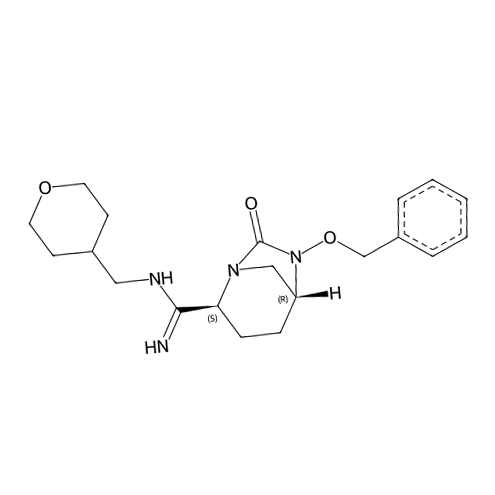 N=C(NCC1CCOCC1)[C@@H]1CC[C@@H]2CN1C(=O)N2OCc1ccccc1